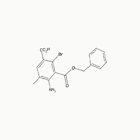 Cc1cc(C(=O)O)c(Br)c(C(=O)OCc2ccccc2)c1N